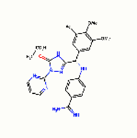 CC(=O)O.COc1cc([C@H](Nc2ccc(C(=N)N)cc2)c2nn(-c3ncccn3)c(=O)[nH]2)cc(C(C)=O)c1OC